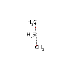 CCCCCCCCCCCCCC[SiH2]CCCCCCCCCCCCCC